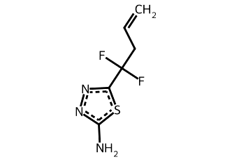 C=CCC(F)(F)c1nnc(N)s1